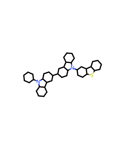 C1CCC(N2C3CCCCC3C3CC(C4CCC5C(C4)C4CCCCC4N5C4CCC5SC6CCCCC6C5C4)CCC32)CC1